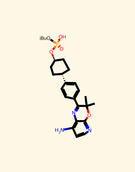 CC(C)COP(=O)(O)O[C@H]1CC[C@H](c2ccc(C3=Nc4c(N)ccnc4OC3(C)C)cc2)CC1